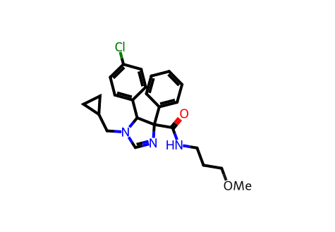 COCCCNC(=O)C1(c2ccccc2)N=CN(CC2CC2)C1c1ccc(Cl)cc1